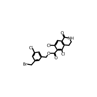 O=C1NCCc2c1cc(Cl)c(C(=O)OCc1cc(Cl)cc(CBr)c1)c2Cl